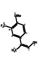 COc1ccc(/C(C)=N\O)cc1C(F)(F)F